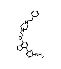 Nc1cccc(-c2ccc(OCCN3CCN(CCc4ccccc4)CC3)c3c2CCC3)n1